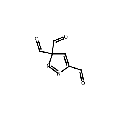 O=CC1=CC(C=O)(C=O)N=N1